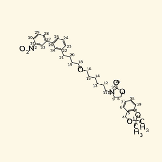 CC1(C)OCc2cc([C@@H]3CN(CCCCCCOCCCCc4cccc(-c5cccc([N+](=O)[O-])c5)c4)C(=O)O3)ccc2O1